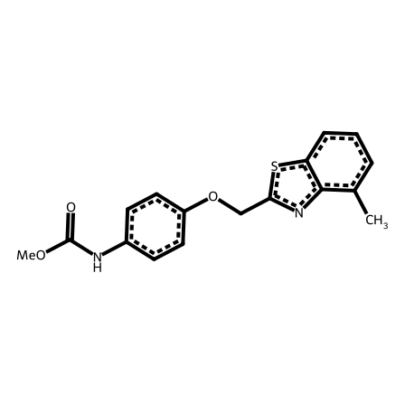 COC(=O)Nc1ccc(OCc2nc3c(C)cccc3s2)cc1